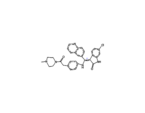 CN1CCN(C(=O)Cc2ccc(N/C(=C3\C(=O)Nc4cc(Cl)ccc43)c3ccc4ncccc4c3)cc2)CC1